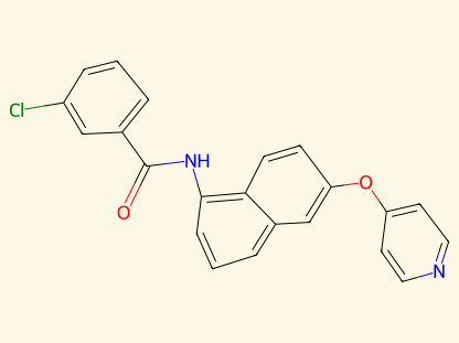 O=C(Nc1cccc2cc(Oc3ccncc3)ccc12)c1cccc(Cl)c1